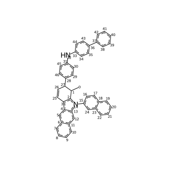 CC1c2c(c3cc4ccccc4cc3n2-c2ccc3ccccc3c2)C=CC1c1ccc(Nc2ccc(-c3ccccc3)cc2)cc1